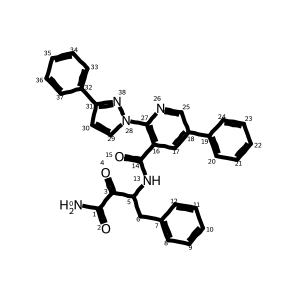 NC(=O)C(=O)C(Cc1ccccc1)NC(=O)c1cc(-c2ccccc2)cnc1-n1ccc(-c2ccccc2)n1